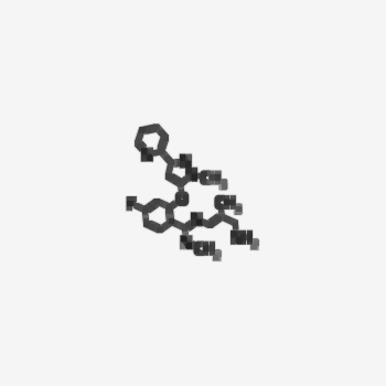 C=N/C(=N\C=C(/C)CN)c1ccc(F)cc1Oc1cc(-c2ccccn2)nn1C